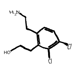 NCCc1ccc(Cl)c(Cl)c1CCO